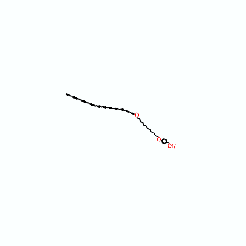 C#CC#CC#CC#CC#CC#CC#CC#CC#CC#CC#COCCCCCCCCCCCCOc1ccc(CO)cc1